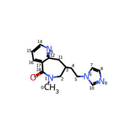 CN1CC(CCn2ccnc2)Cc2ncccc2C1=O